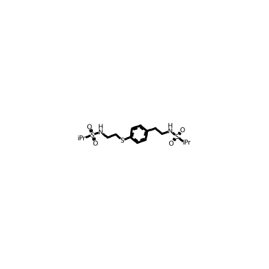 CC(C)S(=O)(=O)NCCSc1ccc(CCNS(=O)(=O)C(C)C)cc1